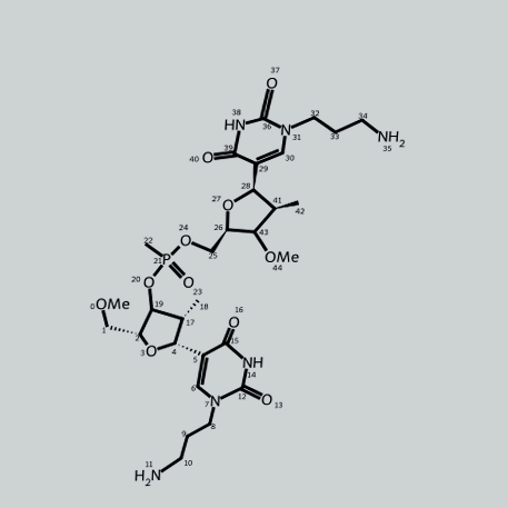 COC[C@H]1O[C@@H](c2cn(CCCN)c(=O)[nH]c2=O)[C@@H](C)C1OP(C)(=O)OC[C@H]1O[C@@H](c2cn(CCCN)c(=O)[nH]c2=O)[C@@H](C)C1OC